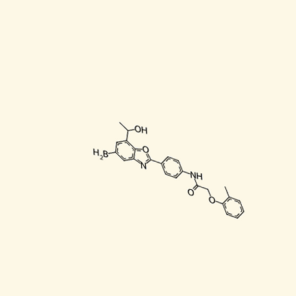 Bc1cc(C(C)O)c2oc(-c3ccc(NC(=O)COc4ccccc4C)cc3)nc2c1